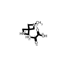 CN1CC2(CNC2)C1.O=C(O)C(=O)O